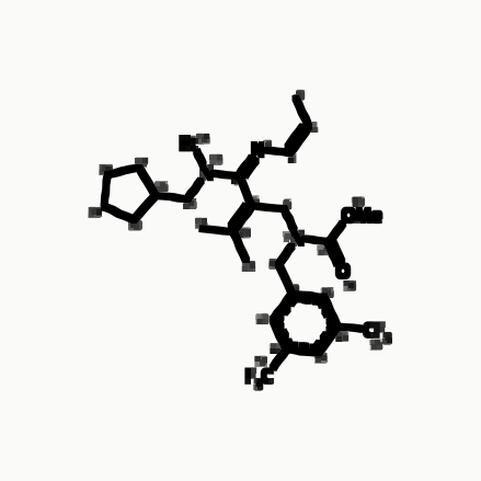 C/C=C\N=C(/C(CN(Cc1cc(C(F)(F)F)cc(C(F)(F)F)c1)C(=O)OC)=C(C)C)N(CC)CC1CCCC1